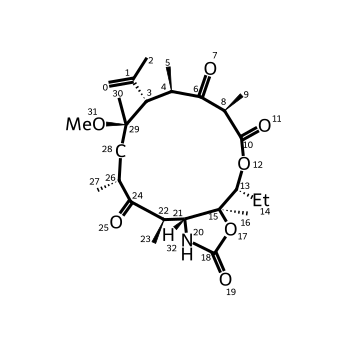 C=C(C)[C@@H]1[C@@H](C)C(=O)[C@@H](C)C(=O)O[C@H](CC)[C@@]2(C)OC(=O)N[C@@H]2[C@@H](C)C(=O)[C@H](C)C[C@@]1(C)OC